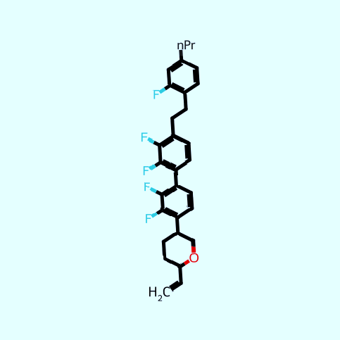 C=CC1CCC(c2ccc(-c3ccc(CCc4ccc(CCC)cc4F)c(F)c3F)c(F)c2F)CO1